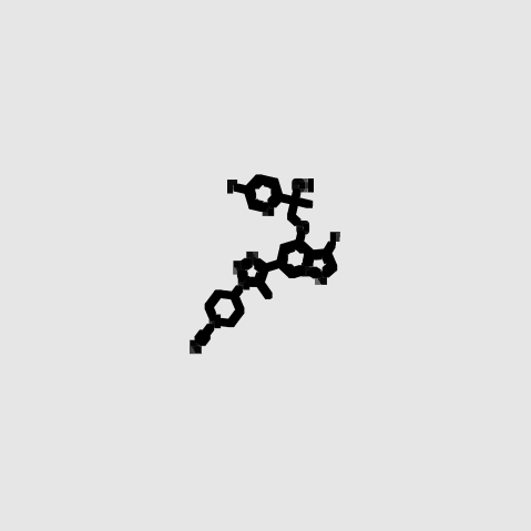 Cc1c(-c2cc(OCC(C)(O)c3ccc(F)cn3)c3c(F)cnn3c2)nnn1C1CCN(C#N)CC1